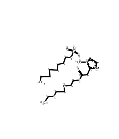 CCCCCCCCOS(=O)(=O)[O-].CCOCCOCCOC(=O)Cc1[nH]cc[n+]1C